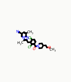 COCCC1CCN(C(=O)c2ccc(Cl)c(Cc3nc4c(C)cc(C#N)cn4c3C)c2Cl)CC1